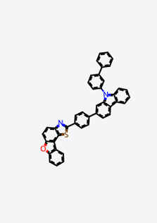 c1ccc(-c2cccc(-n3c4ccccc4c4ccc(-c5ccc(-c6nc7ccc8oc9ccccc9c8c7s6)cc5)cc43)c2)cc1